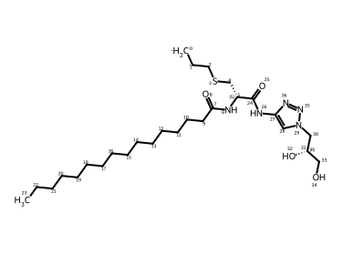 [CH2][CH]CSC[C@@H](NC(=O)CCCCCCCCCCCCCCC)C(=O)Nc1cn(C[C@@H](O)CO)nn1